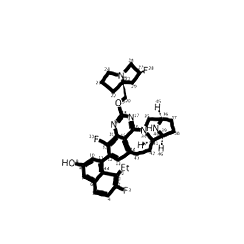 CCc1c(F)ccc2cc(O)cc(-c3cc4c5c(nc(OC[C@@]67CCCN6C[C@H](F)C7)nc5c3F)N3C[C@H]5CC[C@H](N5)[C@H]3CC4)c12